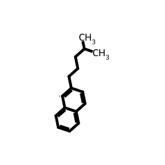 CC(C)CCCc1[c]c2ccccc2cc1